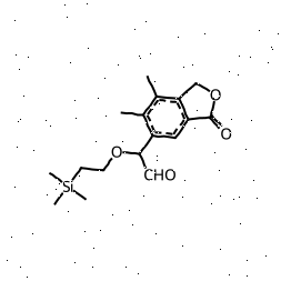 Cc1c(C(C=O)OCC[Si](C)(C)C)cc2c(c1C)COC2=O